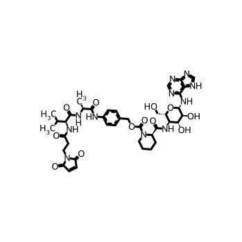 CC(C)[C@H](NC(=O)CCN1C(=O)C=CC1=O)C(=O)N[C@@H](C)C(=O)Nc1ccc(COC(=O)N2CCCC[C@@H]2C(=O)N[C@@H]2[C@@H](O)[C@H](O)[C@@H](Nc3ncnc4nc[nH]c34)O[C@H]2CO)cc1